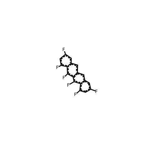 Fc1cc(F)c2c(F)c3c(F)c4c(F)cc(F)cc4cc3cc2c1